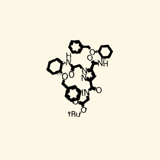 CC(C)(C)OC(=O)CNC(=O)c1cc(C(=O)N[C@H]2CCCC[C@@H]2OCc2ccccc2)n(CC(=O)N[C@H]2CCCC[C@@H]2OCc2ccccc2)n1